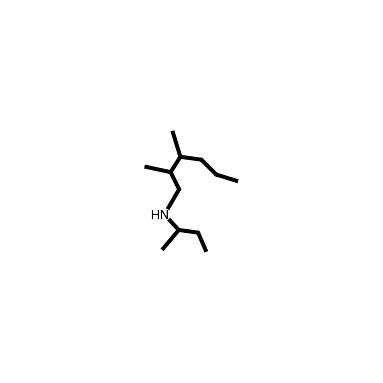 CCCC(C)C(C)CNC(C)CC